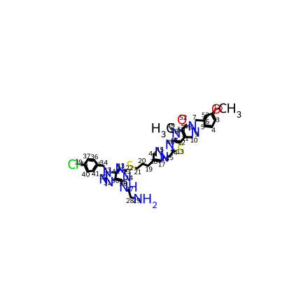 COc1cccc(Cn2ncc3c4sc(Cn5cc(CCCSc6nc(NCCN)c7nnn(Cc8ccc(Cl)cc8)c7n6)cn5)nc4n(C)c3c2=O)c1